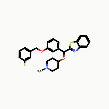 CN1CCC(OC(c2cccc(OCc3cccc(F)c3)c2)c2nc3ccccc3s2)CC1